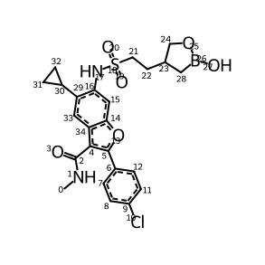 CNC(=O)c1c(-c2ccc(Cl)cc2)oc2cc(NS(=O)(=O)CCC3COB(O)C3)c(C3CC3)cc12